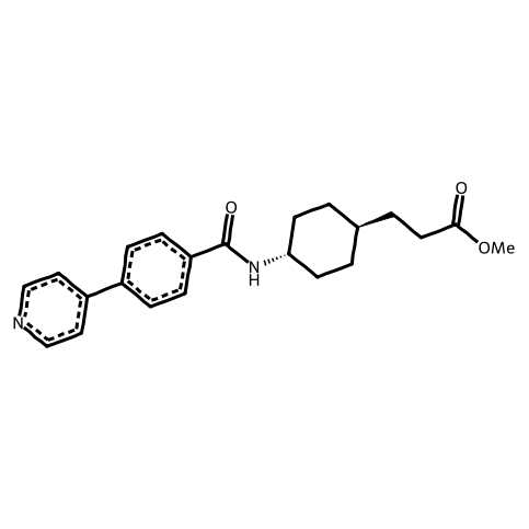 COC(=O)CC[C@H]1CC[C@H](NC(=O)c2ccc(-c3ccncc3)cc2)CC1